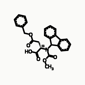 COC(=O)N(C1c2ccccc2-c2ccccc21)[C@@H](CC(=O)OCc1ccccc1)C(=O)O